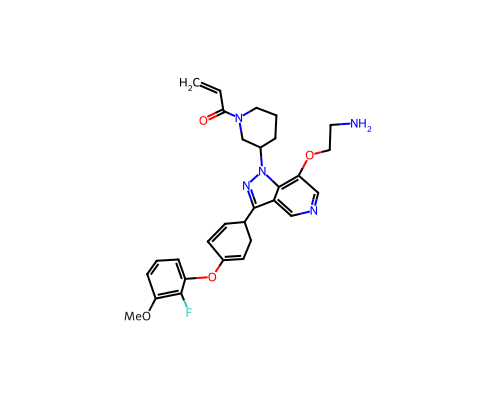 C=CC(=O)N1CCCC(n2nc(C3C=CC(Oc4cccc(OC)c4F)=CC3)c3cncc(OCCN)c32)C1